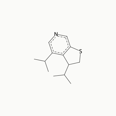 CC(C)c1cncc2c1C(C(C)C)CS2